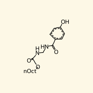 CCCCCCCCOC(=O)NCNC(=O)c1ccc(O)cc1